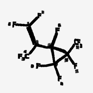 FC(F)=C(C(F)(F)F)C1(F)C(F)(F)C1(F)C(F)(F)F